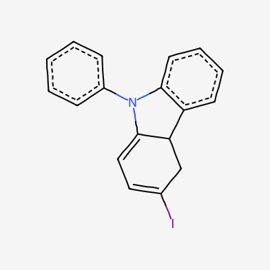 IC1=CC=C2C(C1)c1ccccc1N2c1ccccc1